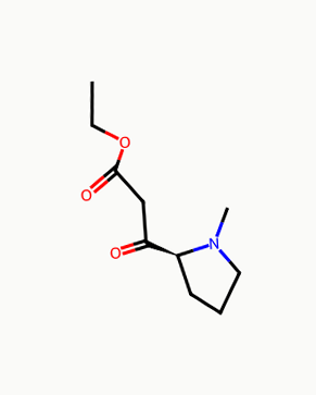 CCOC(=O)CC(=O)[C@@H]1CCCN1C